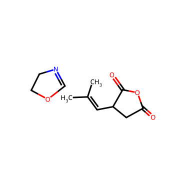 C1=NCCO1.CC(C)=CC1CC(=O)OC1=O